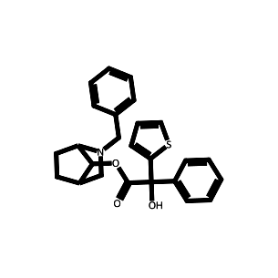 O=C(OC1C2CCC1N(Cc1ccccc1)C2)C(O)(c1ccccc1)c1cccs1